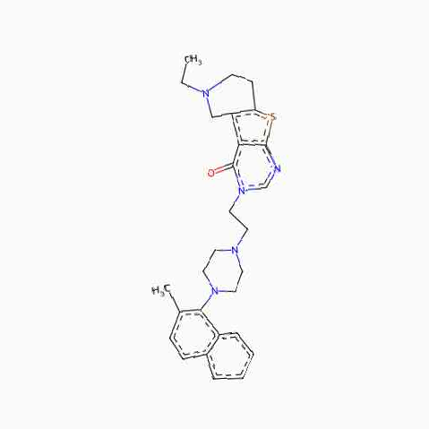 CCN1CCc2sc3ncn(CCN4CCN(c5c(C)ccc6ccccc56)CC4)c(=O)c3c2C1